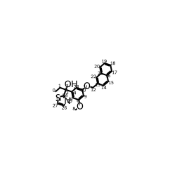 CCC(O)(c1cc(OC)cc(OCc2ccc3ccccc3c2)c1)c1nccs1